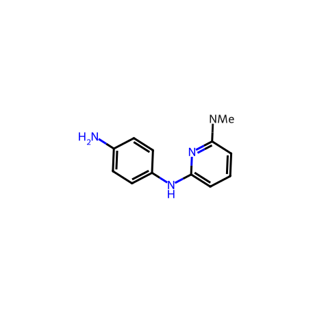 CNc1cccc(Nc2ccc(N)cc2)n1